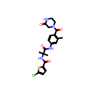 Cc1cc(NC(=O)C(C)(C)NC(=O)c2ccc(Cl)s2)ccc1C(=O)N1CCNC(=O)C1